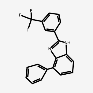 FC(F)(F)c1cccc(-c2nc3c(-c4ccccc4)cccc3[nH]2)c1